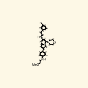 COCCNc1ccc(-c2cc3nc(NN=Cc4cccc(C)c4)cc(N4CCOCC4)n3n2)cc1